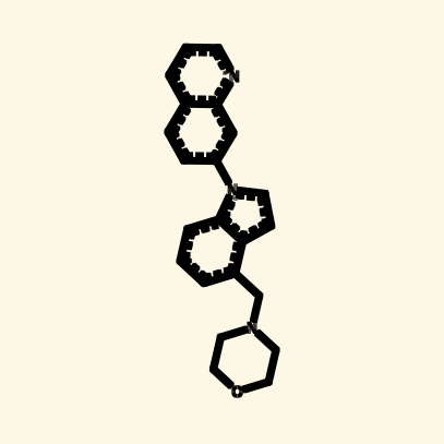 c1cnc2cc(-n3ccc4c(CN5CCOCC5)cccc43)ccc2c1